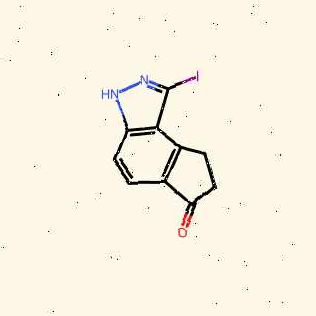 O=C1CCc2c1ccc1[nH]nc(I)c21